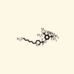 CCCCCCCC1CCC(C(F)(F)Oc2cc(C(C)(C)C)c(O)c(C(C)(C)C)c2)CO1